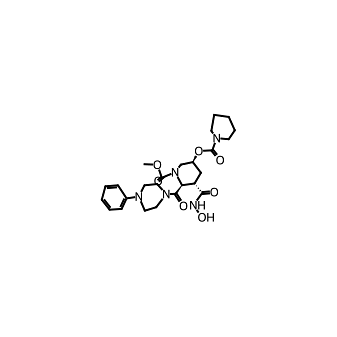 COC(=O)N1C[C@@H](OC(=O)N2CCCCC2)C[C@H](C(=O)NO)[C@H]1C(=O)N1CCN(c2ccccc2)CC1